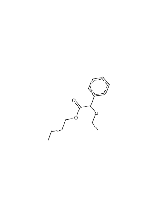 CCCCOC(=O)C(OCC)c1ccccc1